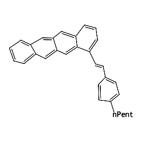 CCCCCc1ccc(C=Cc2cccc3cc4cc5ccccc5cc4cc23)cc1